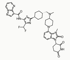 CN(C[C@H]1CC[C@H](c2nc(C(F)F)c(NC(=O)c3cnn4cccnc34)s2)CC1)C1CCN(c2cccc3c2n(C)c(=O)n3C2CCC(=O)NC2=O)CC1